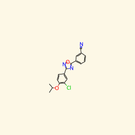 CC(C)Oc1ccc(-c2noc(-c3cccc(C#N)c3)n2)cc1Cl